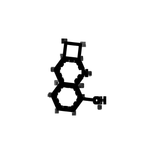 Oc1cccc2cc3c(nc12)CC3